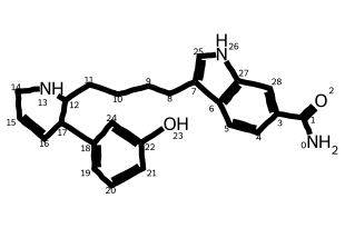 NC(=O)c1ccc2c(CCCCC3NCC=CC3c3cccc(O)c3)c[nH]c2c1